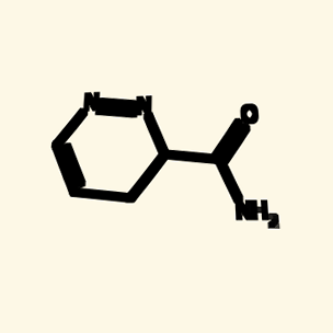 NC(=O)C1CC=CN=N1